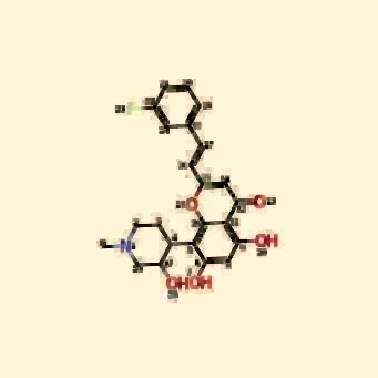 CN1CCC(c2c(O)cc(O)c3c(=O)cc(/C=C/c4cccc(F)c4)oc23)C(O)C1